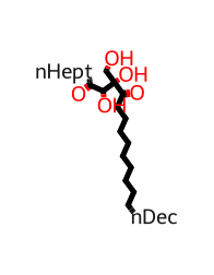 CCCCCCCCCCCCCCCCCCCC(=O)C(O)(CO)C(O)C(=O)CCCCCCC